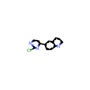 Clc1nccc(-c2ccc3ncccc3c2)n1